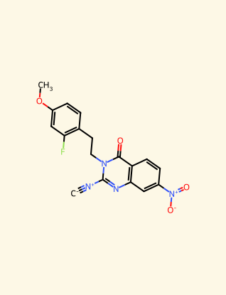 [C-]#[N+]c1nc2cc([N+](=O)[O-])ccc2c(=O)n1CCc1ccc(OC)cc1F